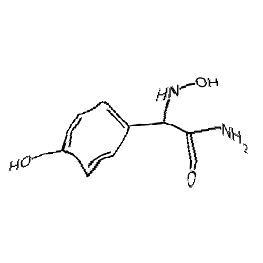 NC(=O)C(NO)c1ccc(O)cc1